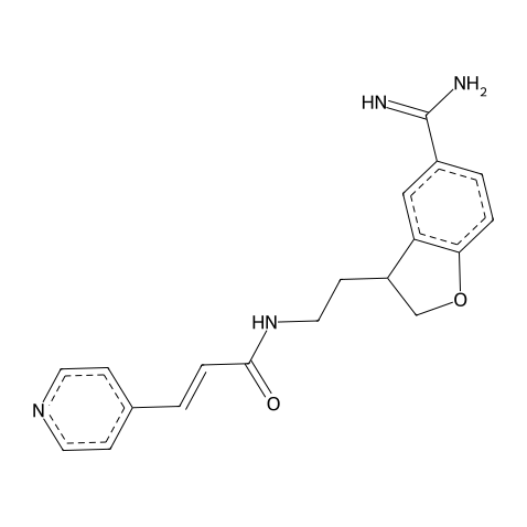 N=C(N)c1ccc2c(c1)C(CCNC(=O)C=Cc1ccncc1)CO2